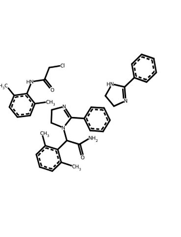 Cc1cccc(C)c1C(C(N)=O)N1CCN=C1c1ccccc1.Cc1cccc(C)c1NC(=O)CCl.c1ccc(C2=NCCN2)cc1